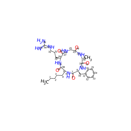 CCCCCC1NC(=O)[C@H](Cc2ccccc2)NC(=O)[C@@H](C)NC(=O)CNC(=O)[C@H](CCCNC(=N)N)NC1=O